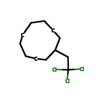 ClC(Cl)(Cl)CC1CCCCCCCCC1